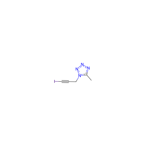 Cc1nnnn1CC#CI